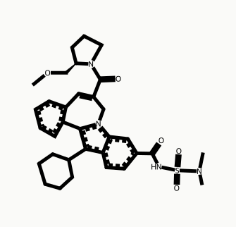 COC[C@H]1CCCN1C(=O)C1=Cc2ccccc2-c2c(C3CCCCC3)c3ccc(C(=O)NS(=O)(=O)N(C)C)cc3n2C1